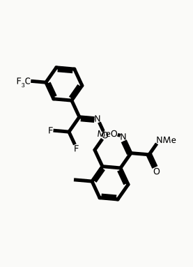 CNC(=O)/C(=N/OC)c1cccc(C)c1CO/N=C(/c1cccc(C(F)(F)F)c1)C(F)F